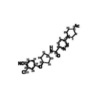 CC(=O)C1CCN(c2ccc(C(=O)N[C@H]3CC[C@H](Oc4ccc(C#N)c(Cl)c4)CC3)nn2)CC1